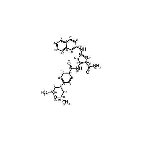 C[C@@H]1CN(c2ccc(C(=O)Nc3sc(Nc4ccc5ccccc5c4)nc3C(N)=O)cc2)C[C@H](C)O1